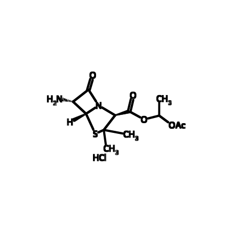 CC(=O)OC(C)OC(=O)[C@@H]1N2C(=O)[C@@H](N)[C@H]2SC1(C)C.Cl